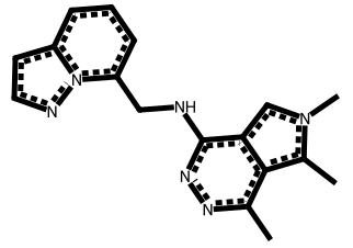 Cc1nnc(NCc2cccc3ccnn23)c2cn(C)c(C)c12